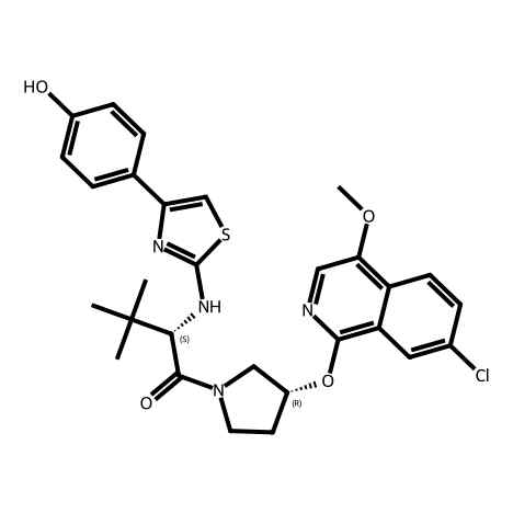 COc1cnc(O[C@@H]2CCN(C(=O)[C@@H](Nc3nc(-c4ccc(O)cc4)cs3)C(C)(C)C)C2)c2cc(Cl)ccc12